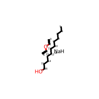 C=COC=C.CCCCCCCCCCCCO.[NaH]